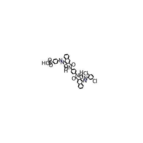 O=C(Nc1ccc(NC(=O)c2cc3ccccc3c(/N=N/c3cc(Cl)ccc3Cl)c2O)cc1)c1cc2ccccc2c(/N=N/c2ccc(S(=O)(=O)O)cc2)c1O